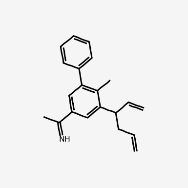 C=CCC(C=C)c1cc(C(C)=N)cc(-c2ccccc2)c1C